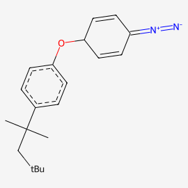 CC(C)(C)CC(C)(C)c1ccc(OC2C=CC(=[N+]=[N-])C=C2)cc1